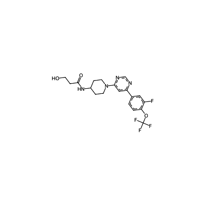 O=C(CCO)NC1CCN(c2cc(-c3ccc(OC(F)(F)F)c(F)c3)ncn2)CC1